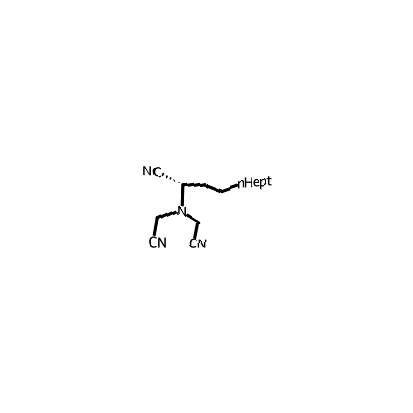 CCCCCCCCC[C@@H](C#N)N(CC#N)CC#N